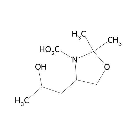 CC(O)CC1COC(C)(C)N1C(=O)O